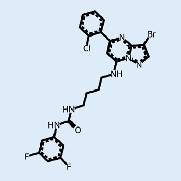 O=C(NCCCCNc1cc(-c2ccccc2Cl)nc2c(Br)cnn12)Nc1cc(F)cc(F)c1